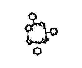 C1=Cc2nc1c(-c1ccccc1)c1ccc([nH]1)c(-c1ccccc1)c1ccc([nH]1)c(-c1ccccc1)c1ccc2[nH]1